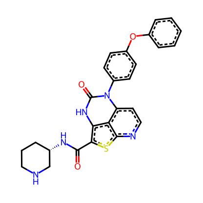 O=C(N[C@H]1CCCNC1)c1sc2nccc3c2c1NC(=O)N3c1ccc(Oc2ccccc2)cc1